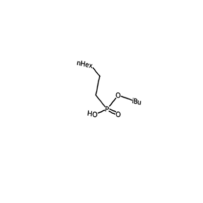 CCCCCCCCP(=O)(O)OC(C)CC